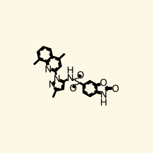 Cc1cc(NS(=O)(=O)c2ccc3[nH]c(=O)oc3c2)n(-c2cc(C)c3cccc(C)c3n2)n1